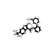 Nc1oc2cc(C(F)(P)P)cnc2c1C(=O)Nc1cnccc1N1CCCC(N)C1